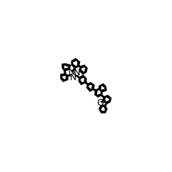 c1ccc(-c2ccccc2-c2nc(-c3ccc(-c4ccc(-c5ccc(-c6cccc7c6oc6ccccc67)c6ccccc56)cc4)cc3)nc(-c3ccccc3-c3ccccc3)n2)cc1